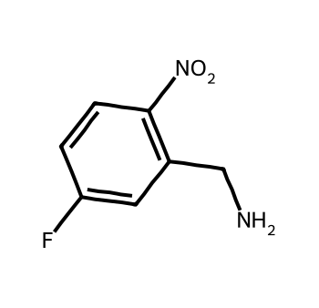 NCc1cc(F)ccc1[N+](=O)[O-]